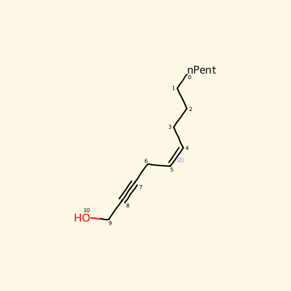 CCCCCCCC/C=C\CC#CCO